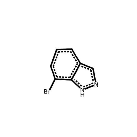 Brc1cccc2cn[nH]c12